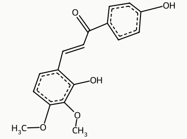 COc1ccc(/C=C/C(=O)c2ccc(O)cc2)c(O)c1OC